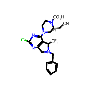 N#CC[C@H]1CN(c2nc(Cl)nc3c2C(C(F)(F)F)N(Cc2ccccc2)C3)CCN1C(=O)O